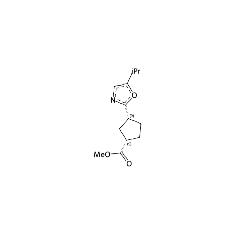 COC(=O)[C@H]1CC[C@@H](c2ncc(C(C)C)o2)C1